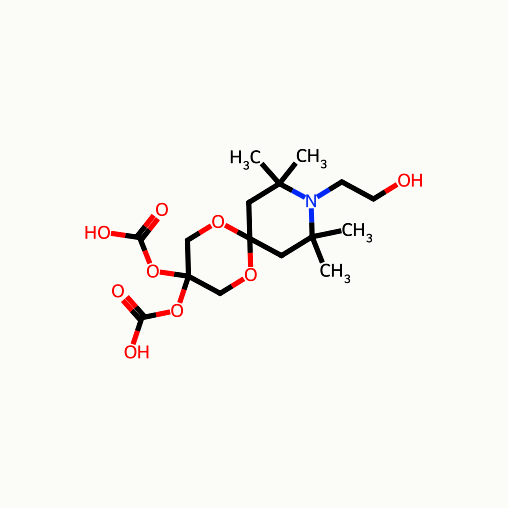 CC1(C)CC2(CC(C)(C)N1CCO)OCC(OC(=O)O)(OC(=O)O)CO2